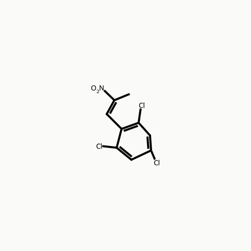 CC(=Cc1c(Cl)cc(Cl)cc1Cl)[N+](=O)[O-]